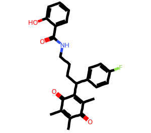 CC1=C(C)C(=O)C(C(CCCNC(=O)c2ccccc2O)c2ccc(F)cc2)=C(C)C1=O